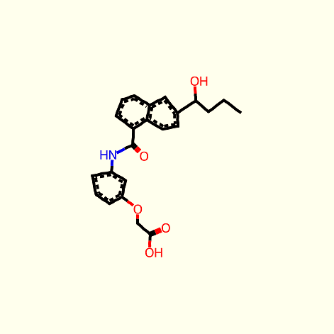 CCCC(O)c1ccc2c(C(=O)Nc3cccc(OCC(=O)O)c3)cccc2c1